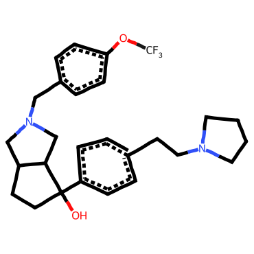 OC1(c2ccc(CCN3CCCC3)cc2)CCC2CN(Cc3ccc(OC(F)(F)F)cc3)CC21